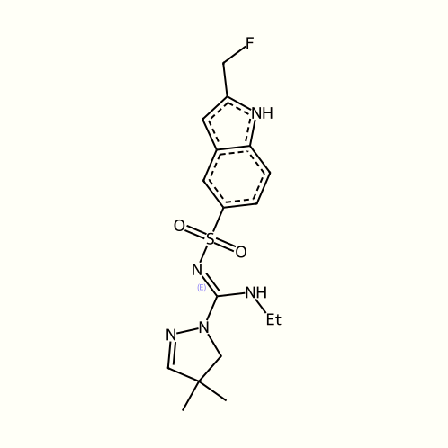 CCN/C(=N\S(=O)(=O)c1ccc2[nH]c(CF)cc2c1)N1CC(C)(C)C=N1